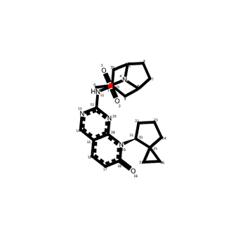 CS(=O)(=O)N1C2CCC1CC(Nc1ncc3ccc(=O)n([C@H]4CCCC45CC5)c3n1)C2